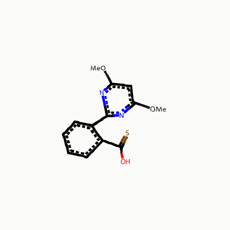 COc1cc(OC)nc(-c2ccccc2C(O)=S)n1